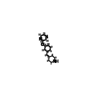 C(=C1CCNCC1)c1cccc(Oc2cnccn2)c1